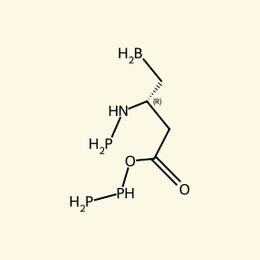 BC[C@H](CC(=O)OPP)NP